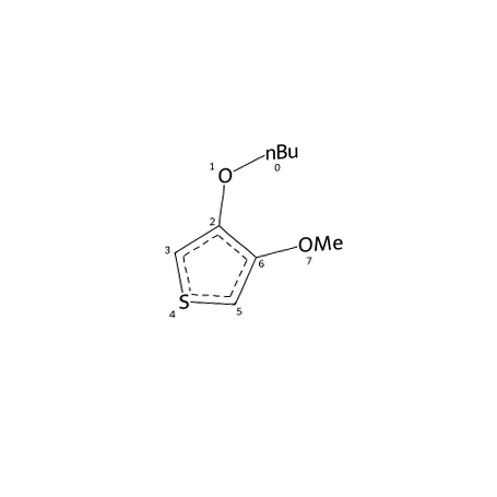 CCCCOc1cscc1OC